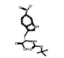 CC(C)(C)OC(=O)N[C@@H](Cc1c[nH]c2cc([N+](=O)[O-])ccc12)C(=O)O